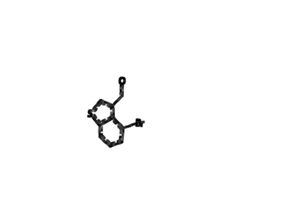 O=Cc1csc2cccc(Br)c12